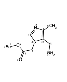 Cc1ncn(CC(=O)OC(C)(C)C)c1CN